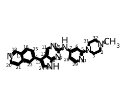 CN1CCN(c2cc(Nc3ncc4c(-c5ccc6cnccc6c5)c[nH]c4n3)ccn2)CC1